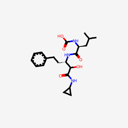 CC(C)C[C@H](NC(=O)O)C(=O)N[C@@H](CCc1ccccc1)C(O)C(=O)NC1CC1